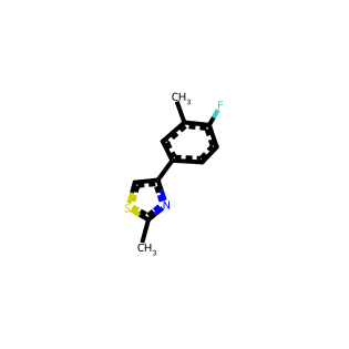 Cc1nc(-c2ccc(F)c(C)c2)cs1